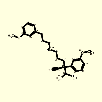 COc1cccc(CCCNCCCC(C#N)(c2cccc(OC)c2)C(C)C)c1